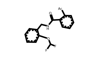 CC(=O)c1ccccc1C(=O)NCc1ccccc1OC(F)F